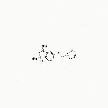 CC(C)(C)N1CC(C(C)(C)C)(C(C)(C)C)c2ccc(OCc3ccccc3)cc21